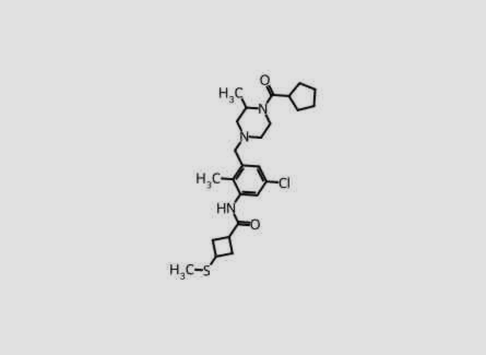 CSC1CC(C(=O)Nc2cc(Cl)cc(CN3CCN(C(=O)C4CCCC4)C(C)C3)c2C)C1